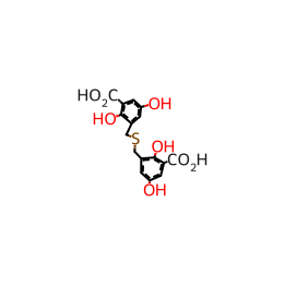 O=C(O)c1cc(O)cc(CSCc2cc(O)cc(C(=O)O)c2O)c1O